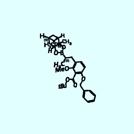 COc1c(C[C@@H](C)B2O[C@@H]3C[C@@H]4C[C@@H](C4(C)C)[C@]3(C)O2)ccc(OCc2ccccc2)c1C(=O)OC(C)(C)C